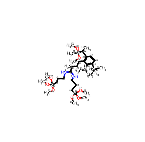 CO[Si](CCCNC(NCCC[Si](OC)(OC)OC)[SiH2]CCc1c(C(C)[Si](C)(OC)OC)ccc([SiH](C)C)c1[SiH](C)C)(OC)OC